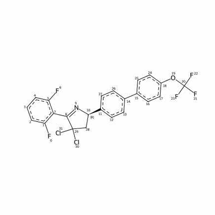 Fc1cccc(F)c1C1=N[C@@H](c2ccc(-c3ccc(OC(F)(F)F)cc3)cc2)CC1(Cl)Cl